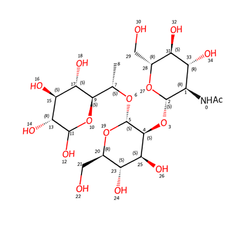 CC(=O)N[C@H]1[C@H](O[C@@H]2[C@@H](O[C@@H](C)[C@H]3OC(O)[C@H](O)[C@@H](O)[C@@H]3O)O[C@H](CO)[C@@H](O)[C@@H]2O)O[C@H](CO)[C@@H](O)[C@@H]1O